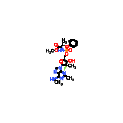 CNc1nc(C)nc2c1ncn2[C@@H]1O[C@H](CO[P@](=O)(N[C@@H](C)C(=O)OC)Oc2ccccc2)[C@@H](O)[C@@]1(C)F